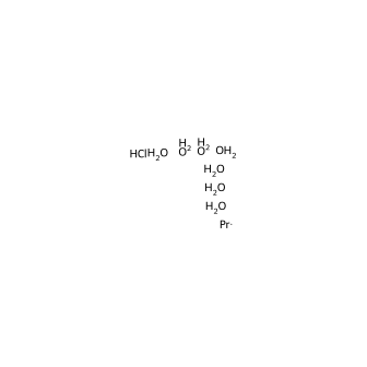 Cl.O.O.O.O.O.O.O.[Pr]